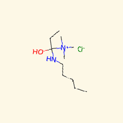 CCCCCNC(O)(CC)[N+](C)(C)C.[Cl-]